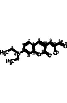 CCN(CC)c1ccc2cc(C=C(Cl)C=O)c(=O)oc2c1